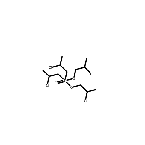 CC(Cl)C[O][Ti](=[O])([CH2]C(C)Cl)([CH2]C(C)Cl)[O]CC(C)Cl